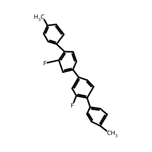 Cc1ccc(-c2ccc(-c3ccc(-c4ccc(C)cc4)c(F)c3)cc2F)cc1